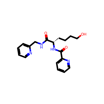 O=C(N[C@@H](CCCCO)C(=O)NCc1ccccn1)c1ccccn1